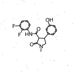 CN1CC(c2cccc(O)c2)C(C(=O)Nc2cccc(F)c2F)C1=O